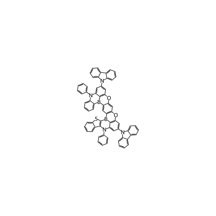 c1ccc(N2c3ccccc3B3c4cc5c(cc4Oc4cc(-n6c7ccccc7c7ccccc76)cc2c43)Oc2cc(-n3c4ccccc4c4ccccc43)cc3c2B5c2sc4ccccc4c2N3c2ccccc2)cc1